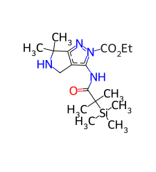 CCOC(=O)n1nc2c(c1NC(=O)C(C)(C)[Si](C)(C)C)CNC2(C)C